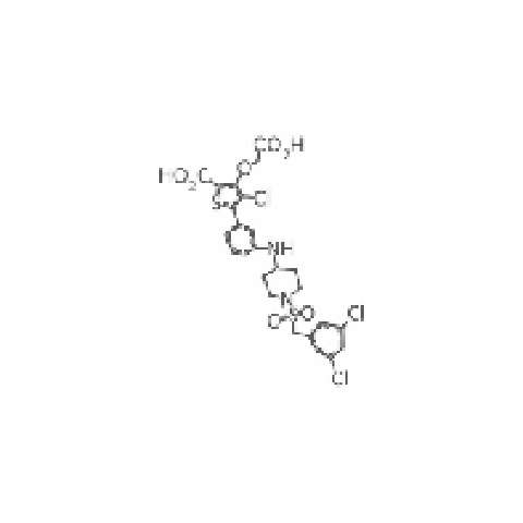 O=C(O)COc1c(C(=O)O)sc(-c2cccc(NC3CCN(S(=O)(=O)Cc4cc(Cl)cc(Cl)c4)CC3)c2)c1Cl